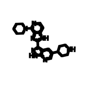 c1cc2[nH]c(-c3n[nH]c4ncc(C5CCNCC5)cc34)nc2c(N2CCCCC2)n1